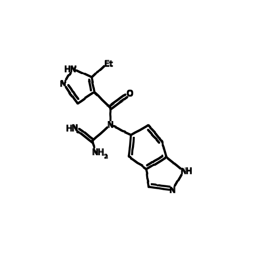 CCc1[nH]ncc1C(=O)N(C(=N)N)c1ccc2[nH]ncc2c1